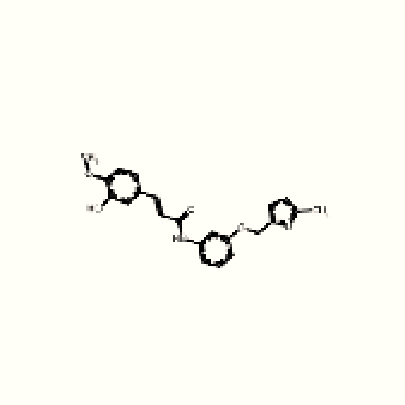 COc1ccc(C=CC(=O)Nc2cccc(OCc3ccc(C)o3)c2)cc1O